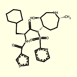 C[C@@H]1CC[C@H](N(C(=O)[C@H](CC2CCCCC2)NC(=O)c2ccsc2)S(=O)(=O)c2ccccn2)[C@@H](O)CN1